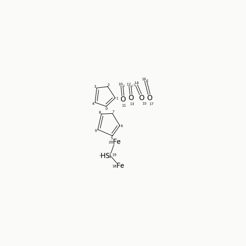 C1=CCC=C1.C1=CCC=C1.[C]=O.[C]=O.[C]=O.[C]=O.[Fe][SiH][Fe]